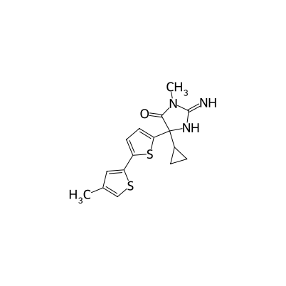 Cc1csc(-c2ccc(C3(C4CC4)NC(=N)N(C)C3=O)s2)c1